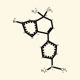 CN(C)c1ccc(C2=CCC(C)(C)c3cc(Br)ccc32)cc1